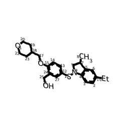 CCc1ccc2c(c1)C(C)CN2Sc1ccc(OCC2CCOCC2)c(CO)c1